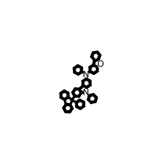 c1ccc(N(c2ccc3oc4ccccc4c3c2)c2ccc3c(c2)c2ccc(C4(c5ccccc5)c5ccccc5-c5ccccc54)cc2n3-c2ccccc2)cc1